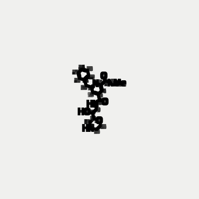 CNC(=O)c1cc(C(=O)NC[C@H](O)[C@@H]2CNCCO2)cc(Cc2ccccc2)n1